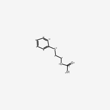 [CH2]CC(=O)OCCSc1ccccc1